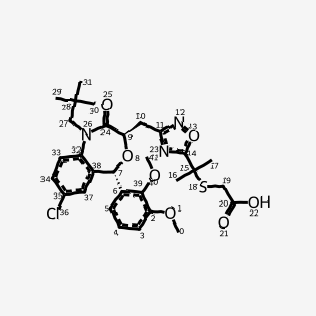 COc1cccc([C@H]2O[C@H](Cc3noc(C(C)(C)SCC(=O)O)n3)C(=O)N(CC(C)(C)C)c3ccc(Cl)cc32)c1OC